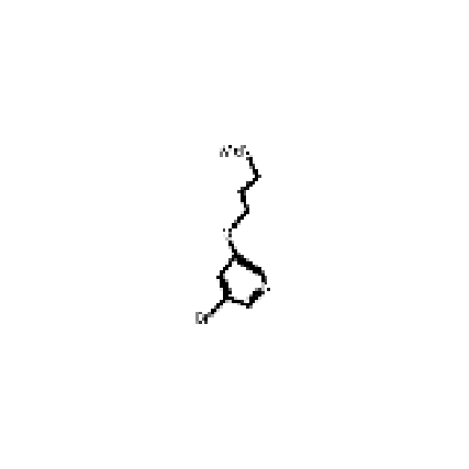 CNCCCOc1cncc(Br)c1